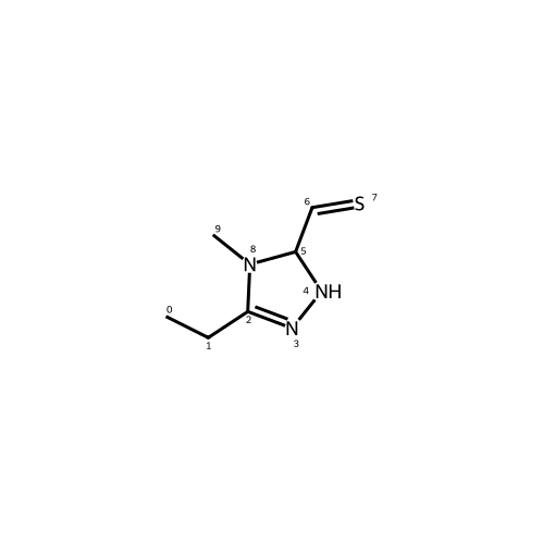 CCC1=NNC(C=S)N1C